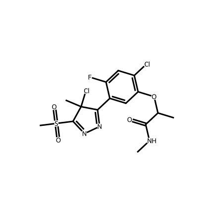 CNC(=O)C(C)Oc1cc(C2=NN=C(S(C)(=O)=O)C2(C)Cl)c(F)cc1Cl